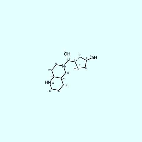 O[C@H]([C@@H]1CC(S)CN1)N1CCC2NCCCC2C1